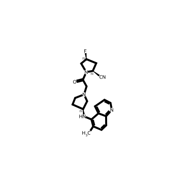 Cc1ccc2ncccc2c1N[C@H]1CCN(CC(=O)N2C[C@@H](F)C[C@H]2C#N)C1